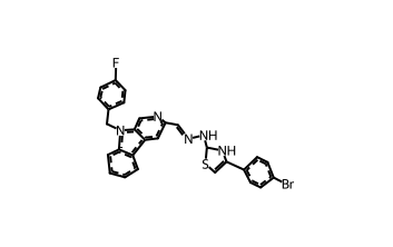 Fc1ccc(Cn2c3ccccc3c3cc(C=NNC4NC(c5ccc(Br)cc5)=CS4)ncc32)cc1